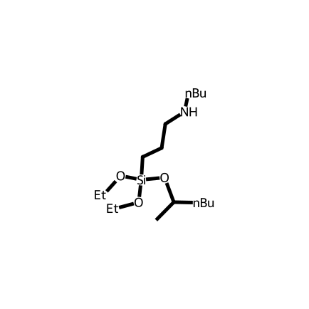 CCCCNCCC[Si](OCC)(OCC)OC(C)CCCC